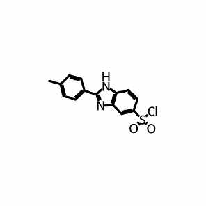 Cc1ccc(-c2nc3cc(S(=O)(=O)Cl)ccc3[nH]2)cc1